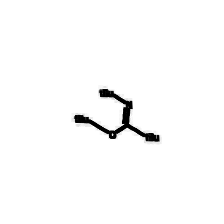 CC(C)(C)/N=C(\OC(C)(C)C)C(C)(C)C